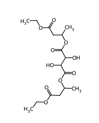 CCOC(=O)CC(C)OC(=O)C(O)C(O)C(=O)OC(C)CC(=O)OCC